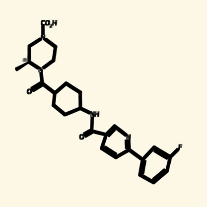 C[C@H]1CN(C(=O)O)CCN1C(=O)C1CCC(NC(=O)c2ccc(-c3cccc(F)c3)nc2)CC1